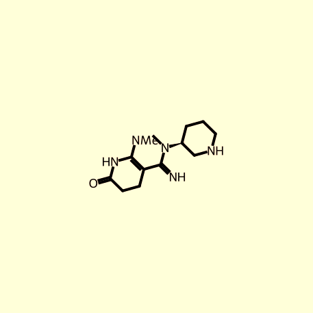 CNC1=C(C(=N)N(C)[C@H]2CCCNC2)CCC(=O)N1